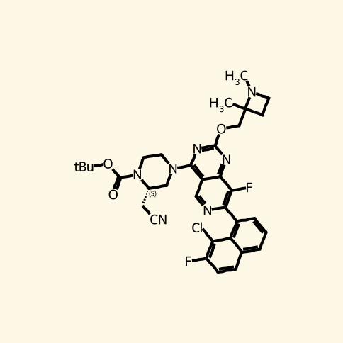 CN1CCC1(C)COc1nc(N2CCN(C(=O)OC(C)(C)C)[C@@H](CC#N)C2)c2cnc(-c3cccc4ccc(F)c(Cl)c34)c(F)c2n1